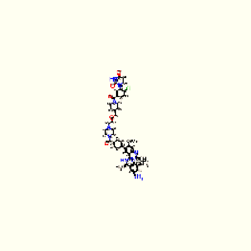 COc1cc2nc(C)nc(NC(C)c3cc(N)cc(C(F)(F)F)c3)c2cc1C1=CCC(C(=O)N2CCN(CCOCC3CCN(C(=O)c4ccc(Cl)c(N5CCC(=O)NC5=O)c4)CC3)CC2)CC1